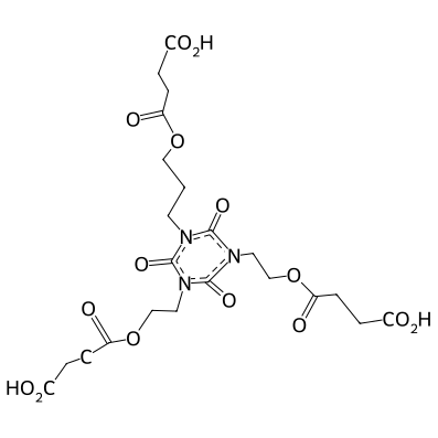 O=C(O)CCC(=O)OCCCn1c(=O)n(CCOC(=O)CCC(=O)O)c(=O)n(CCOC(=O)CCC(=O)O)c1=O